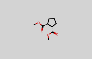 COC(=O)[C@H]1CCC[C@@H]1C(=O)OC